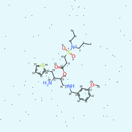 CCCN(CCC)S(=O)(=O)CCC(=O)OC(CNCc1cccc(OC)c1)C(N)Cc1cccs1